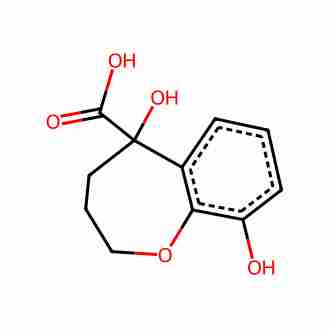 O=C(O)C1(O)CCCOc2c(O)cccc21